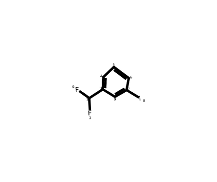 FC(F)c1cccc(I)c1